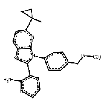 CC1(c2ccc3nc(-c4cccnc4N)n(-c4ccc(CNC(=O)O)cc4)c3n2)CC1